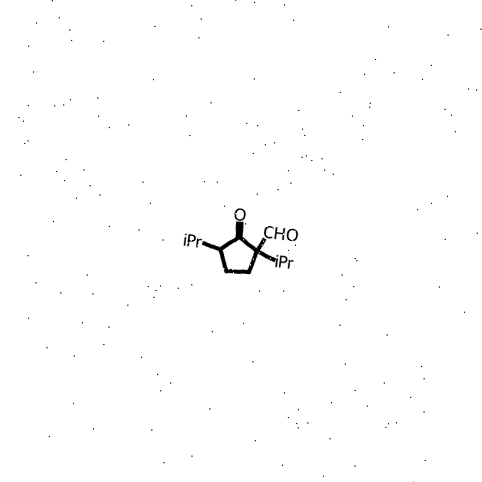 CC(C)C1CCC(C=O)(C(C)C)C1=O